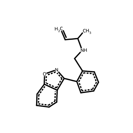 C=CC(C)NCc1ccccc1-c1noc2ccccc12